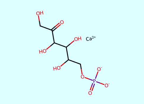 O=C(CO)C(O)C(O)C(O)COP(=O)([O-])[O-].[Ca+2]